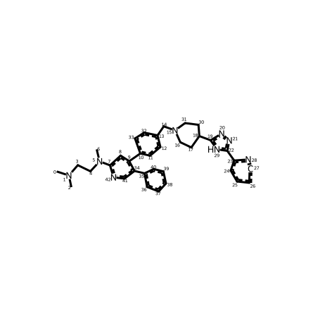 CN(C)CCN(C)c1cc(-c2ccc(CN3CCC(c4nnc(-c5ccccn5)[nH]4)CC3)cc2)c(-c2ccccc2)cn1